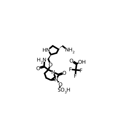 NC[C@H]1CN[C@H](COC2(C(N)=O)CCC3CN2C(=O)N3OS(=O)(=O)O)C1.O=C(O)C(F)(F)F